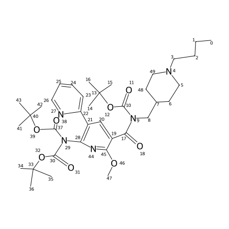 CCCCN1CCC(CN(C(=O)OC(C)(C)C)C(=O)c2cc(-c3ccccn3)c(N(C(=O)OC(C)(C)C)C(=O)OC(C)(C)C)nc2OC)CC1